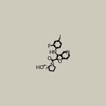 O=C(c1oc2ccncc2c1Nc1ccc(I)cc1F)N1CCC[C@@H]1CO